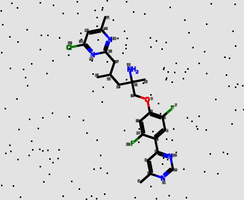 Cc1cc(-c2cc(F)c(OCC(C)(N)CC(C)Cc3nc(C)cc(Cl)n3)cc2F)ncn1